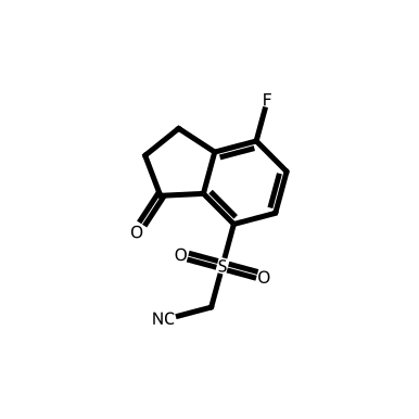 N#CCS(=O)(=O)c1ccc(F)c2c1C(=O)CC2